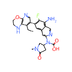 CCc1c(-c2cc3cc(N(C(=O)O)C4CC(=O)N(C)C4)ncc3c(N)c2F)cnc2c1NCCO2